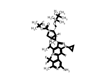 Cc1nc(N)cc(-c2nc(C(C)C)c3c([C@@H]4[C@H]5CN(C(=O)OC(C)(C)C)[C@H](CO[Si](C)(C)C(C)(C)C)[C@H]54)nn(C4CC4)c3c2F)c1C(F)(F)F